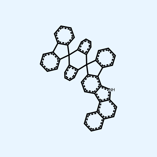 c1ccc2c(c1)-c1ccccc1C21c2ccccc2C2(c3ccccc3-c3c2ccc2c3[nH]c3ccc4ccccc4c32)c2ccccc21